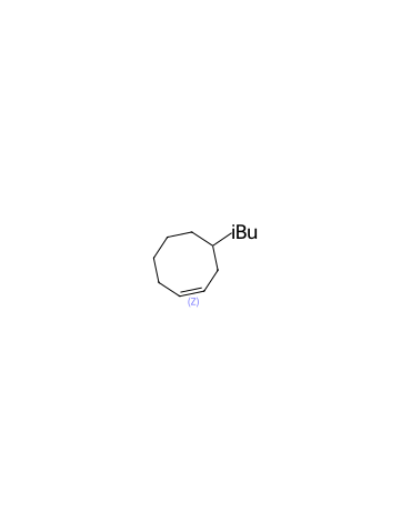 [CH2]C(CC)C1C/C=C\CCCC1